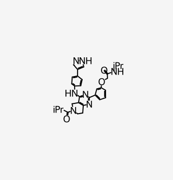 CC(C)NC(=O)COc1cccc(-c2nc3c(c(Nc4ccc(-c5cn[nH]c5)cc4)n2)CN(C(=O)C(C)C)CC3)c1